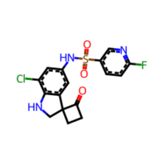 O=C1CCC12CNc1c(Cl)cc(NS(=O)(=O)c3ccc(F)nc3)cc12